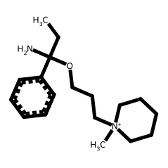 CCC(N)(OCCC[N+]1(C)CCCCC1)c1ccccc1